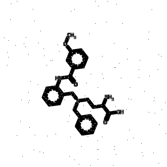 COc1cccc(C(=O)Nc2ccccc2CN(CCC(N)C(=O)O)Cc2ccccc2)c1